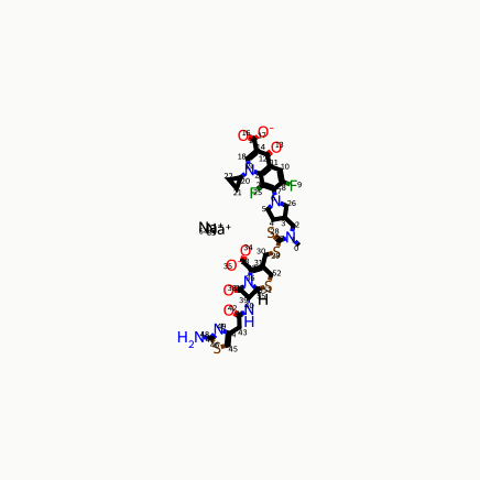 CN(CC1CCN(c2c(F)cc3c(=O)c(C(=O)[O-])cn(C4CC4)c3c2F)C1)C(=S)SCC1=C(C(=O)[O-])N2C(=O)[C@@H](NC(=O)Cc3csc(N)n3)[C@H]2SC1.[Na+].[Na+]